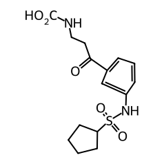 O=C(O)NCCC(=O)c1cccc(NS(=O)(=O)C2CCCC2)c1